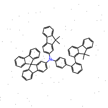 CC1(C)c2ccccc2-c2ccc(N(c3ccc(-c4ccccc4-c4cccc5c4C(C)(C)c4ccccc4-5)cc3)c3ccc4c(c3)C3(c5ccccc5-c5ccccc53)c3ccccc3-4)cc21